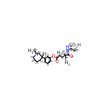 CCC1(c2cccc(OC(=O)CCC(C)(C)C(=O)N[C@H](C(=O)O)C(C)C)c2)CCCCN(C)C1